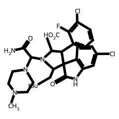 CN1CCN(C(C(N)=O)N2C(C(=O)O)C(c3cccc(Cl)c3F)C3(C(=O)Nc4cc(Cl)ccc43)C2CC(C)(C)C)CC1